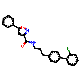 O=C(NCCCc1ccc(-c2ccccc2F)cc1)c1cc(-c2ccccc2)on1